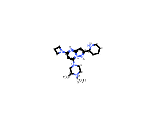 CC(C)(C)C1CN(c2cc(N3CCC3)nc3cc(C4CCCCN4)nn23)CCN1C(=O)O